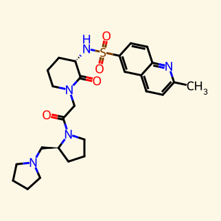 Cc1ccc2cc(S(=O)(=O)N[C@H]3CCCN(CC(=O)N4CCC[C@H]4CN4CCCC4)C3=O)ccc2n1